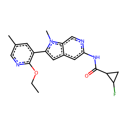 CCOc1ncc(C)cc1-c1cc2cc(NC(=O)C3CC3F)ncc2n1C